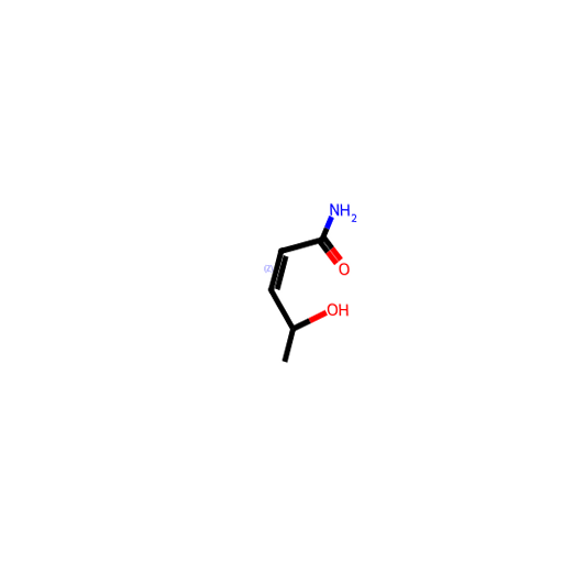 CC(O)/C=C\C(N)=O